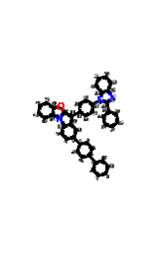 c1ccc(-c2ccc(-c3ccc4c(c3)c(-c3ccc(-n5c(-c6ccccc6)nc6ccccc65)cc3)c3oc5ccccc5n34)cc2)cc1